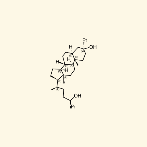 CC[C@]1(O)CC[C@@]2(C)[C@@H](CC[C@@H]3[C@@H]2CC[C@]2(C)[C@@H]([C@H](C)CCC(O)C(C)C)CC[C@@H]32)C1